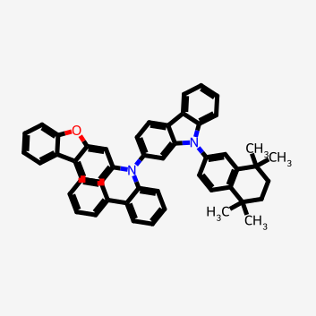 CC1(C)CCC(C)(C)c2cc(-n3c4ccccc4c4ccc(N(c5ccc6c(c5)oc5ccccc56)c5ccccc5-c5ccccc5)cc43)ccc21